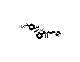 COc1ccc(S(=O)(=O)Nc2ccccc2C(=O)NCCCn2ccnc2)cc1